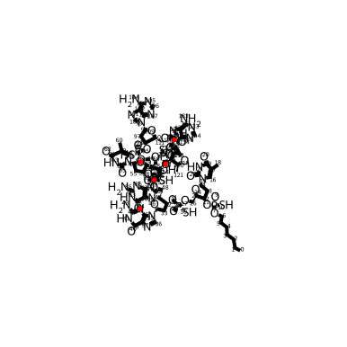 CCCCCCCOP(=O)(S)O[C@@H]1C[C@H](n2cc(C)c(=O)[nH]c2=O)O[C@@H]1COP(=O)(S)O[C@@H]1C[C@H](n2cnc3c(=O)[nH]c(N)nc32)O[C@@H]1COP(=O)(S)O[C@@H]1C[C@H](n2cc(C)c(=O)[nH]c2=O)O[C@@H]1COP(=O)(S)OC1C[C@H](n2cnc3c(=O)[nH]c(N)nc32)O[C@@H]1COP(=O)(S)OC1C[C@H](n2cnc3c(N)ncnc32)O[C@@H]1COP(=O)(S)OC1C2O[C@@H](C)[C@]1(CO)O[C@H]2n1cnc2c(N)ncnc21